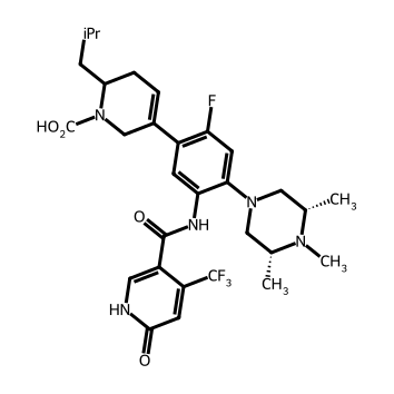 CC(C)CC1CC=C(c2cc(NC(=O)c3c[nH]c(=O)cc3C(F)(F)F)c(N3C[C@@H](C)N(C)[C@@H](C)C3)cc2F)CN1C(=O)O